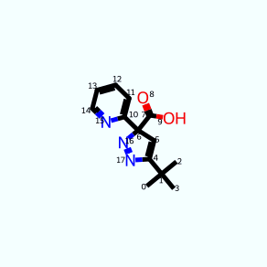 CC(C)(C)C1=CC(C(=O)O)(c2ccccn2)N=N1